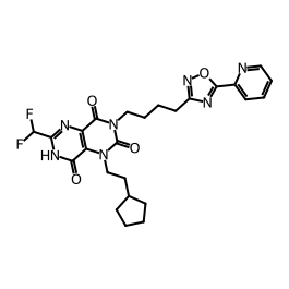 O=c1[nH]c(C(F)F)nc2c(=O)n(CCCCc3noc(-c4ccccn4)n3)c(=O)n(CCC3CCCC3)c12